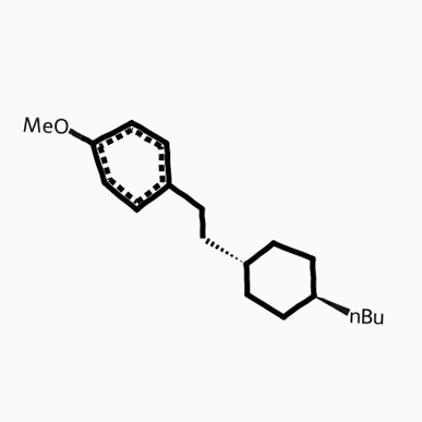 CCCC[C@H]1CC[C@H](CCc2ccc(OC)cc2)CC1